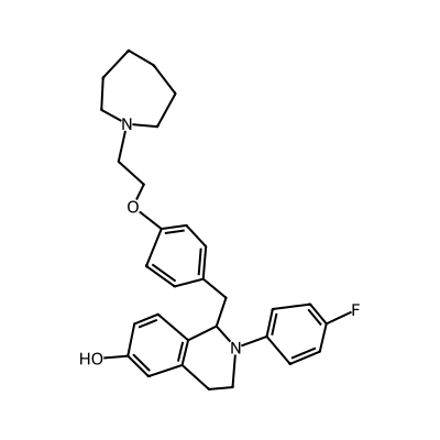 Oc1ccc2c(c1)CCN(c1ccc(F)cc1)C2Cc1ccc(OCCN2CCCCCC2)cc1